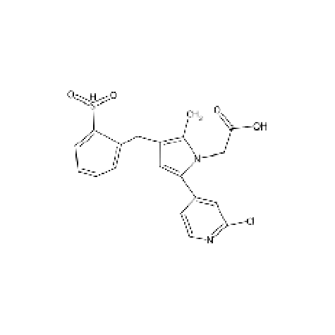 Cc1c(Cc2ccccc2[SH](=O)=O)cc(-c2ccnc(Cl)c2)n1CC(=O)O